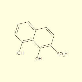 O=S(=O)(O)c1ccc2cccc(O)c2c1O